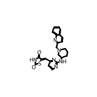 O=C1NC(=O)/C(=C/c2ccnc(NC3CCCN(Cc4ccc5ccccc5n4)C3)n2)S1